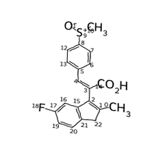 CC1=C(C(=Cc2ccc([S+](C)[O-])cc2)C(=O)O)c2cc(F)ccc2C1